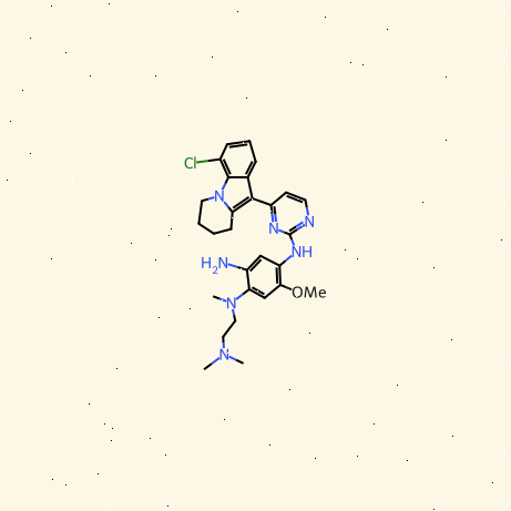 COc1cc(N(C)CCN(C)C)c(N)cc1Nc1nccc(-c2c3n(c4c(Cl)cccc24)CCCC3)n1